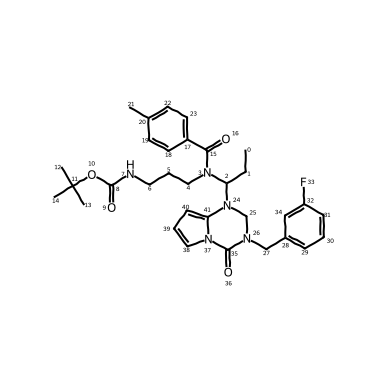 CCC(N(CCCNC(=O)OC(C)(C)C)C(=O)c1ccc(C)cc1)N1CN(Cc2cccc(F)c2)C(=O)n2cccc21